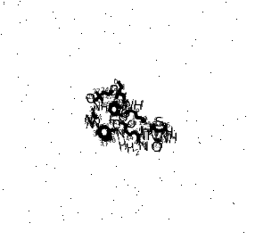 CCC(C)(CCNC(=O)CCCC[C@@H]1SC[C@@H]2NC(=O)N[C@@H]21)OCCC(C)(C)C(=O)NCc1cn(-c2cccc(C(=O)NC(CCCCN)C(=O)COc3c(F)cccc3F)c2)nn1